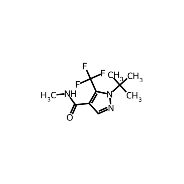 CNC(=O)c1cnn(C(C)(C)C)c1C(F)(F)F